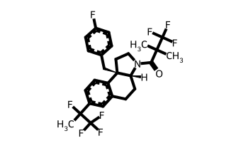 CC(C)(C(=O)N1CC[C@@]2(Cc3ccc(F)cc3)c3ccc(C(C)(F)C(F)(F)F)cc3CC[C@@H]12)C(F)(F)F